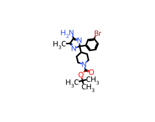 CC1=NC(c2cccc(Br)c2)(C2CCN(C(=O)OC(C)(C)C)CC2)N=C1N